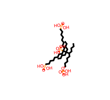 CCCCC(CCCCCOP(=O)(O)O)C(CCCC)(CCCC)C(CCCCCCCCP(=O)(O)O)(CCCCCCCCP(=O)(O)O)P(=O)(O)O